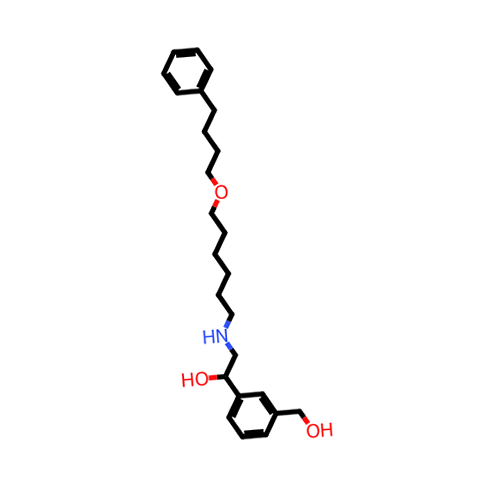 OCc1cccc(C(O)CNCCCCCCOCCCCc2ccccc2)c1